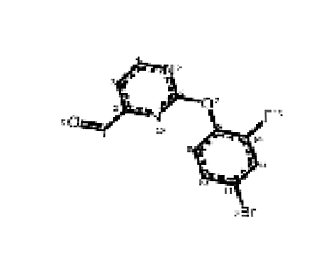 O=Cc1ccnc(Oc2ccc(Br)cc2F)n1